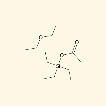 CCOCC.CC[Si](CC)(CC)OC(C)=O